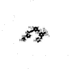 Cc1cc(F)c(C(=O)Nc2cc(CN3CCNCC3)cc(C(C)(C)Cl)c2)cc1C#Cc1cnc2c(Nc3cn[nH]c3)cccn12